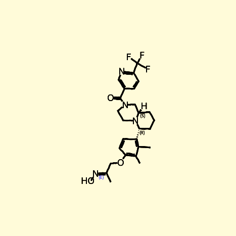 C/C(COc1ccc([C@H]2CCC[C@H]3CN(C(=O)c4ccc(C(F)(F)F)nc4)CCN32)c(C)c1C)=N\O